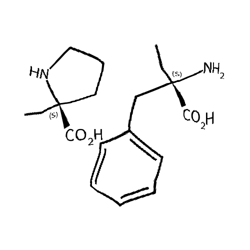 C[C@@]1(C(=O)O)CCCN1.C[C@](N)(Cc1ccccc1)C(=O)O